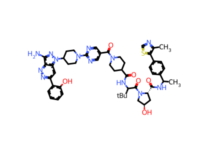 Cc1ncsc1-c1ccc(C(C)NC(=O)[C@@H]2C[C@@H](O)CN2C(=O)C(NC(=O)C2CCN(C(=O)c3cnc(N4CCC(n5nc(N)c6nnc(-c7ccccc7O)cc65)CC4)nc3)CC2)C(C)(C)C)cc1